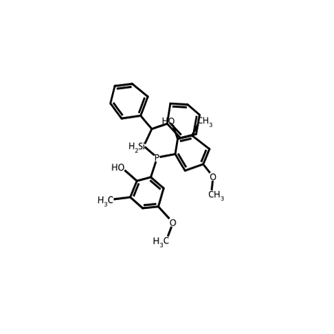 COc1cc(C)c(O)c(P([SiH2]C(c2ccccc2)c2ccccc2)c2cc(OC)cc(C)c2O)c1